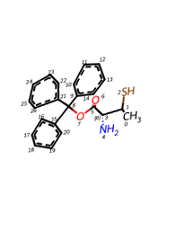 CC(S)[C@H](N)C(=O)OC(c1ccccc1)(c1ccccc1)c1ccccc1